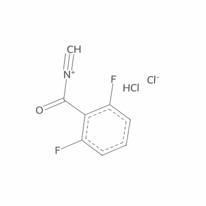 C#[N+]C(=O)c1c(F)cccc1F.Cl.[Cl-]